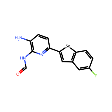 Nc1ccc(-c2cc3cc(F)ccc3[se]2)nc1NC=O